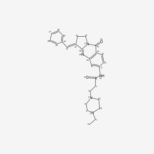 CCN1CCN(CCC(=O)Nc2ccc3c(=O)n4c(nc3c2)C(=Cc2ccccc2)CC4)CC1